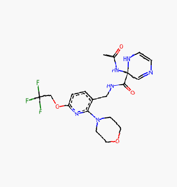 CC(=O)NC1(C(=O)NCc2ccc(OCC(F)(F)F)nc2N2CCOCC2)C=NC=CN1